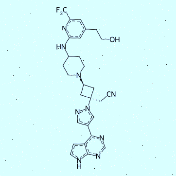 N#CC[C@]1(n2cc(-c3ncnc4[nH]ccc34)cn2)C[C@@H](N2CCC(Nc3cc(CCO)cc(C(F)(F)F)n3)CC2)C1